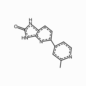 Cc1cc(-c2ccc3[nH]c(=O)[nH]c3n2)ccn1